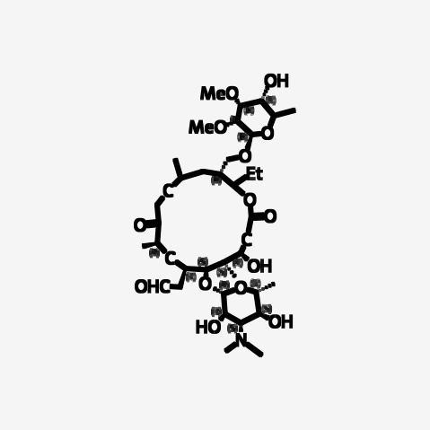 CCC1OC(=O)C[C@@H](O)[C@H](C)[C@@H](O[C@@H]2O[C@H](C)[C@@H](O)[C@H](N(C)C)[C@H]2O)[C@@H](CC=O)C[C@@H](C)C(=O)CCC(C)C[C@@H]1CO[C@@H]1OC(C)[C@@H](O)[C@@H](OC)[C@H]1OC